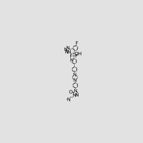 CN(C)CCn1ncn(-c2ccc(N3CCN(c4ccc(-c5ccc(C(F)(F)[C@]6(O)Cn7nnnc7-c7cc(F)ccc76)nc5)cc4)CC3)cc2)c1=O